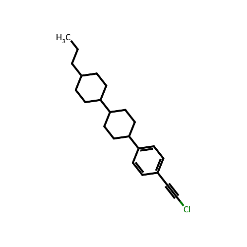 CCCC1CCC(C2CCC(c3ccc(C#CCl)cc3)CC2)CC1